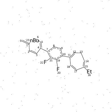 C=C(/C=C\C(=C/C)c1ccc(C2=CCC=C(CC)C=C2)c(F)c1F)CCCC